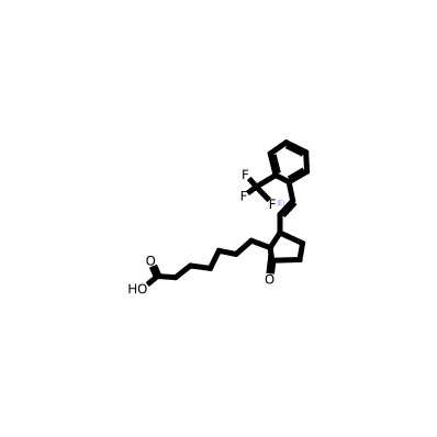 O=C(O)CCCCCCC1C(=O)CCC1/C=C/c1ccccc1C(F)(F)F